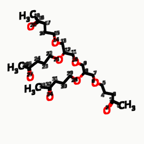 CC(=O)CCCOCC(COCC(COCCCC(C)=O)OCCCC(C)=O)OCCCC(C)=O